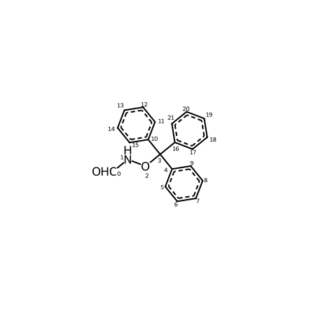 O=CNOC(c1ccccc1)(c1ccccc1)c1ccccc1